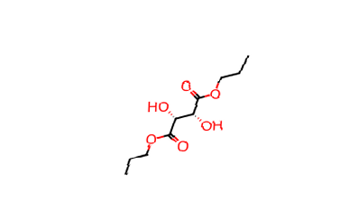 CCCOC(=O)[C@H](O)[C@@H](O)C(=O)OCCC